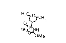 COC(=O)N[C@H](C(=O)C(C)(C)C)C1C[C@@H](C)O[C@@H](C)C1